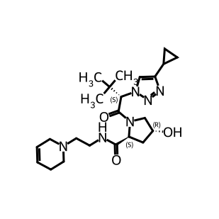 CC(C)(C)[C@@H](C(=O)N1C[C@H](O)C[C@H]1C(=O)NCCN1CC=CCC1)n1cc(C2CC2)nn1